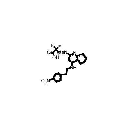 CNc1cc(NCCc2ccc([N+](=O)[O-])cc2)c2ccccc2n1.O=C(O)C(F)(F)F